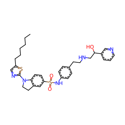 CCCCCCc1cnc(N2CCc3cc(S(=O)(=O)Nc4ccc(CCNCC(O)c5cccnc5)cc4)ccc32)s1